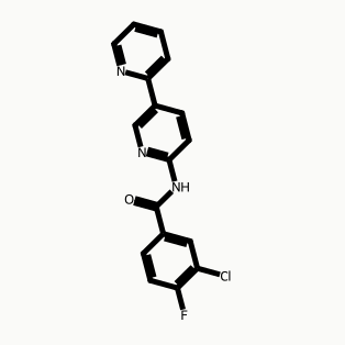 O=C(Nc1ccc(-c2ccccn2)cn1)c1ccc(F)c(Cl)c1